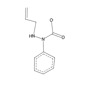 C=CCNN(C([O])=O)c1ccccc1